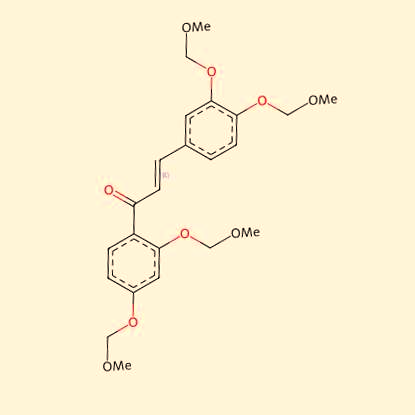 COCOc1ccc(C(=O)/C=C/c2ccc(OCOC)c(OCOC)c2)c(OCOC)c1